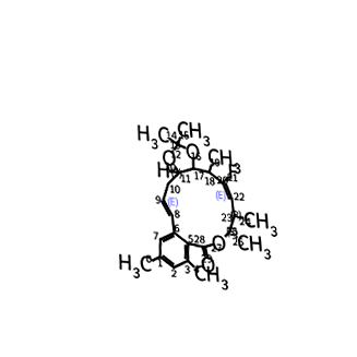 Cc1cc(C)c2c(c1)/C=C/C[C@@H]1OC(C)(C)OC1C(C)/C(F)=C\[C@@H](C)[C@H](C)OC2=O